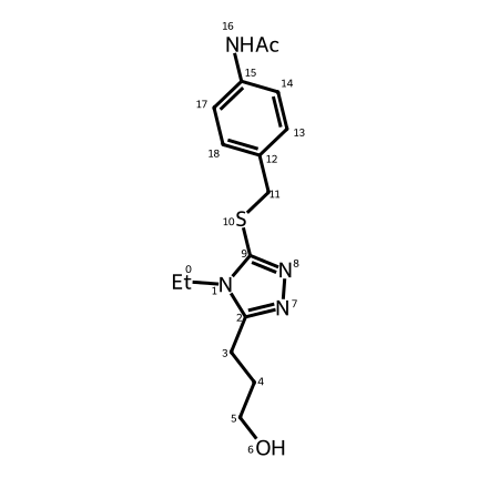 CCn1c(CCCO)nnc1SCc1ccc(NC(C)=O)cc1